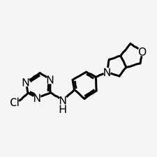 Clc1ncnc(Nc2ccc(N3CC4COCC4C3)cc2)n1